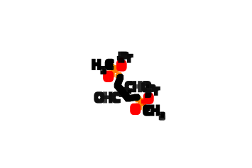 CC(C)OP(C)(=O)CCC([C]=O)(C=O)CCP(C)(=O)OC(C)C